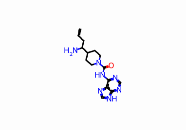 C=CCC(N)C1CCN(C(=O)Nc2ncnc3[nH]cnc23)CC1